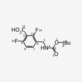 CC(C)(C)OC(=O)NCc1ccc(F)c(C(=O)O)c1F